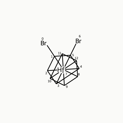 Br[C]12[CH]3[CH]4[CH]5[C]1(Br)[Hf]43521678[CH]2[CH]1[CH]6[CH]7[CH]28